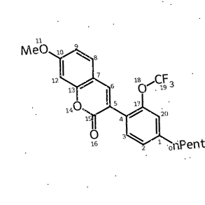 CCCCCc1ccc(-c2cc3ccc(OC)cc3oc2=O)c(OC(F)(F)F)c1